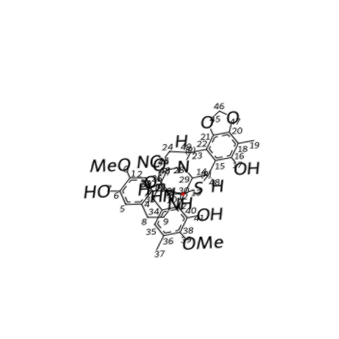 COc1cc2c(cc1O)CCN[C@]21CS[C@@H]2c3c(O)c(C)c4c(c3[C@H](COC1=O)N1C2C2N[C@H](Cc3cc(C)c(OC)c(O)c32)[C@@H]1C#N)OCO4